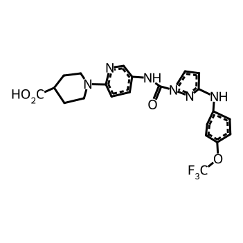 O=C(O)C1CCN(c2ccc(NC(=O)n3ccc(Nc4ccc(OC(F)(F)F)cc4)n3)cn2)CC1